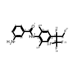 Nc1cccc(C(=O)Nc2c(I)cc(C(F)(CF)C(F)(F)F)cc2I)c1